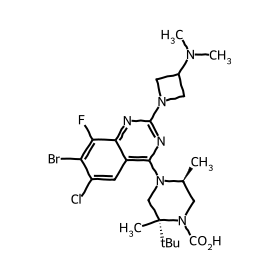 C[C@H]1CN(C(=O)O)[C@](C)(C(C)(C)C)CN1c1nc(N2CC(N(C)C)C2)nc2c(F)c(Br)c(Cl)cc12